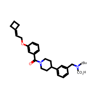 CC(C)(C)N(Cc1cccc(C2CCN(C(=O)c3cccc(OCC=C4CCC4)c3)CC2)c1)C(=O)O